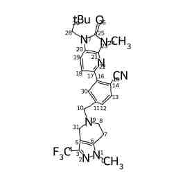 Cn1nc(C(F)(F)F)c2c1CCN(Cc1ccc(C#N)c(-c3ccc4c(n3)n(C)c(=O)n4CC(C)(C)C)c1)C2